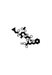 CC(=O)OC(CC(C(C)C)N(C)C(=O)CC1CC1)c1nc(C(=O)NNC(Cc2ccccc2)CC(C)C(=O)O)cs1